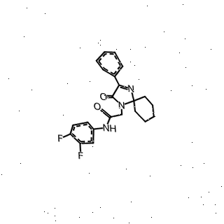 O=C(CN1C(=O)C(c2ccccc2)=NC12CCCCC2)Nc1ccc(F)c(F)c1